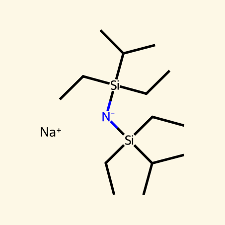 CC[Si](CC)([N-][Si](CC)(CC)C(C)C)C(C)C.[Na+]